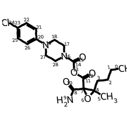 CCCCC1(C)OC1(C(N)=O)C(=O)OC(=O)N1CCN(c2ccc(Cl)cc2)CC1